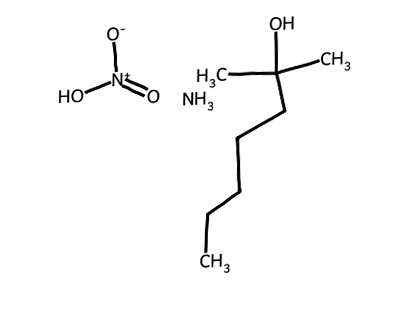 CCCCCC(C)(C)O.N.O=[N+]([O-])O